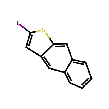 Ic1cc2cc3ccccc3cc2s1